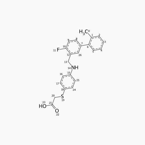 Cc1ccccc1-c1ccc(F)c(CNc2ccc(SCC(=O)O)cc2)c1